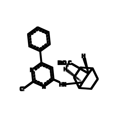 CCOC(=O)[C@@H]1C2CCC(CC2)[C@H]1Nc1cc(-c2ccccc2)nc(Cl)n1